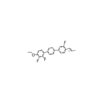 C/C=C/c1ccc(-c2ccc(-c3ccc(OCC)c(F)c3F)cc2)cc1F